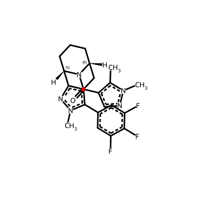 Cc1c(C(=O)N2[C@@H]3CCC[C@H]2c2nn(C)c(-c4cc(F)c(F)c(F)c4)c2C3)cnn1C